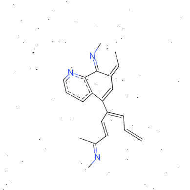 C=C\C=C(/C=C/C(C)=N/C)C1=CC(=C/C)/C(=N\C)c2ncccc21